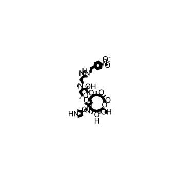 CC[C@H]1OC(=O)[C@H](C)C(=O)[C@H](C)[C@@H](O[C@@H]2O[C@H](C)C[C@H](N(C)CCc3cn(CCc4ccc([N+](=O)[O-])cc4)nn3)[C@H]2O)[C@@]2(C)C[C@@H](CO2)/C(=N\O[C@@H]2CCNC2)[C@H](C)[C@@H](O)[C@]1(C)O